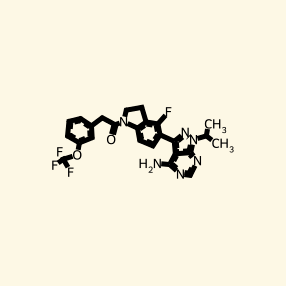 CC(C)n1nc(-c2ccc3c(c2F)CCN3C(=O)Cc2cccc(OC(F)(F)F)c2)c2c(N)ncnc21